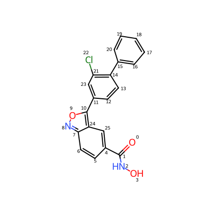 O=C(NO)c1ccc2noc(-c3ccc(-c4ccccc4)c(Cl)c3)c2c1